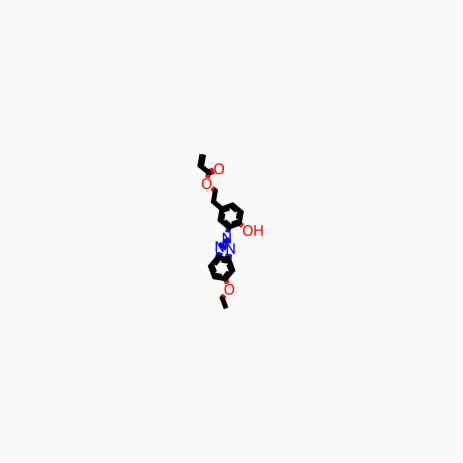 C=CC(=O)OCCc1ccc(O)c(-n2n3c4ccc(OCC)cc4n23)c1